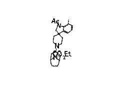 CCOC(=O)N1C2CCC1CC(N1CCC3(CC1)CN(C(C)=O)c1c(C)cccc13)C2